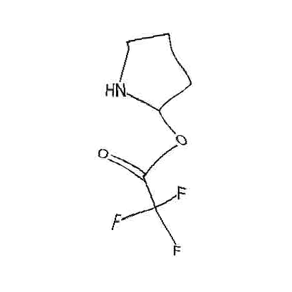 O=C(OC1CCCN1)C(F)(F)F